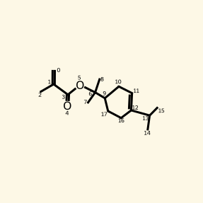 C=C(C)C(=O)OC(C)(C)C1CC=C(C(C)C)CC1